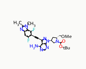 COC[C@H]1C[C@H](n2nc(C#Cc3c(F)cc4nc(C)n(C)c4c3F)c3c(N)ncnc32)CN1C(=O)OC(C)(C)C